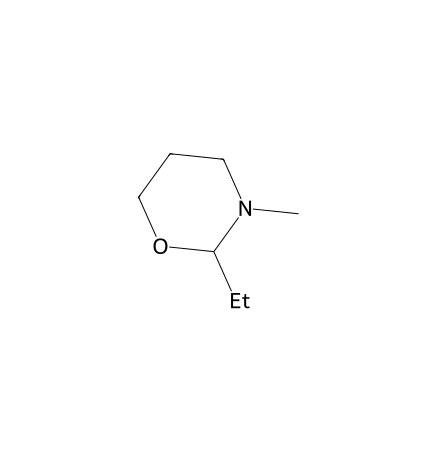 CCC1OCCCN1C